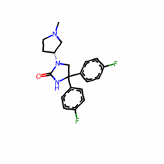 CN1CC[C@@H](N2CC(c3ccc(F)cc3)(c3ccc(F)cc3)NC2=O)C1